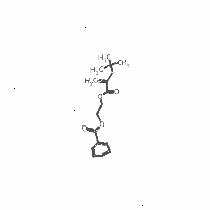 C=C(CC(C)(C)C)C(=O)OCCOC(=O)c1ccccc1